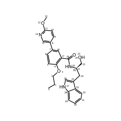 CCCOc1ccc(-c2ccc(OC)nc2)cc1C(=O)N[C@@H](CO)Cc1c[nH]c2ccccc12